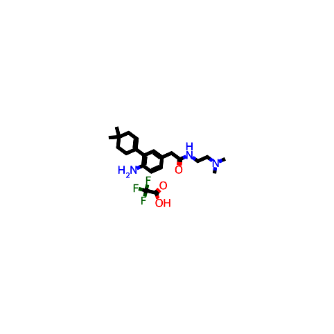 CN(C)CCNC(=O)Cc1ccc(N)c(C2=CCC(C)(C)CC2)c1.O=C(O)C(F)(F)F